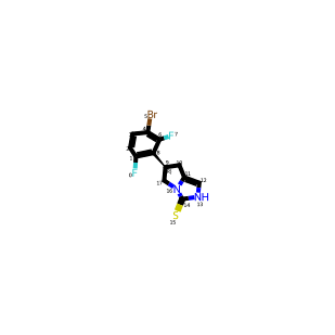 Fc1ccc(Br)c(F)c1[C@H]1Cc2c[nH]c(=S)n2C1